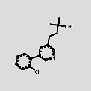 CC(C)(C=O)CCc1cncc(-c2ccccc2Cl)c1